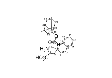 CC1(C[C@H](N)C(=O)O)C=Cc2ccccc2N1C(=O)OC1C2CC3CC(C2)CC1C3